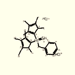 CC1=C(C)C(C)[C]([Hf](=[SiH2])([CH2]c2ccccc2)[C]2=C(C)C(C)=C(C)C2C)=C1C.Cl.Cl